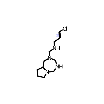 Cl/C=C/CNCN1CNCN2CCCC2C1